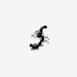 Cc1csc2c(OC(=O)N(C)CCN(C)C(=O)OCc3ccc(NC(=O)CNC(=O)[C@H](CC(C)C)NC(=O)[C@@H](N)Cc4ccccc4)cc3)cc3c(c12)[C@H](CCl)CN3C(=O)c1cc2cc(OCCN3CCCC3)ccc2[nH]1